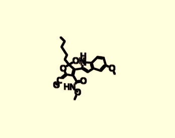 CCCCCC1(O)OC(=C=O)C(C(=O)NOC)=C1c1cc2cc(OC)ccc2[nH]1